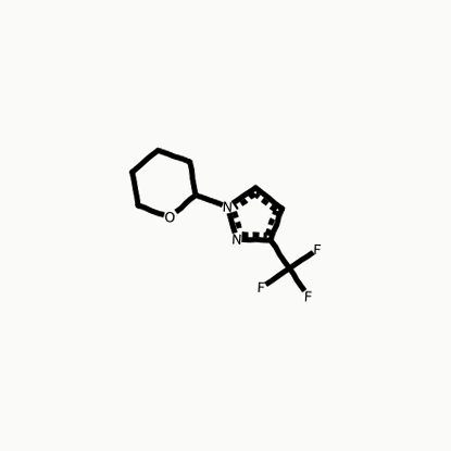 FC(F)(F)c1ccn(C2CCCCO2)n1